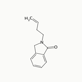 C=CCCN1Cc2ccccc2C1=O